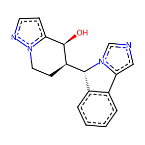 O[C@@H]1c2ccnn2CC[C@@H]1[C@H]1c2ccccc2-c2cncn21